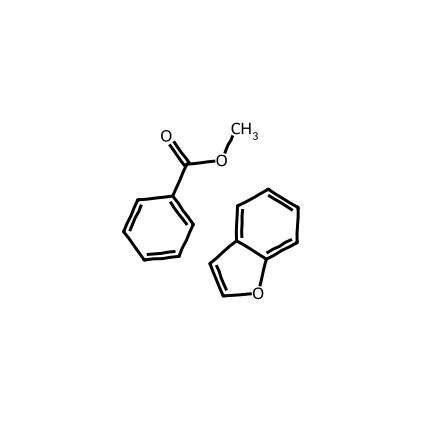 COC(=O)c1ccccc1.c1ccc2occc2c1